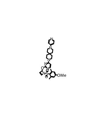 COc1cc(C)c(S(=O)(=O)N2C=CC2Oc2nccc(N3CCC4(CCN(c5ccncc5)CC4)CC3)n2)c(C)c1